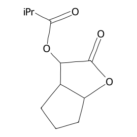 CC(C)C(=O)OC1C(=O)OC2CCCC21